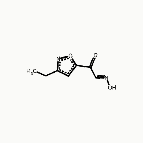 CCc1cc(C(=O)C=NO)on1